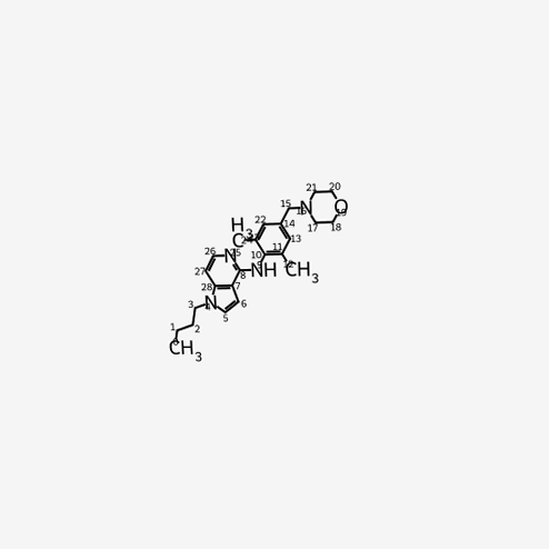 CCCCn1ccc2c(Nc3c(C)cc(CN4CCOCC4)cc3C)nccc21